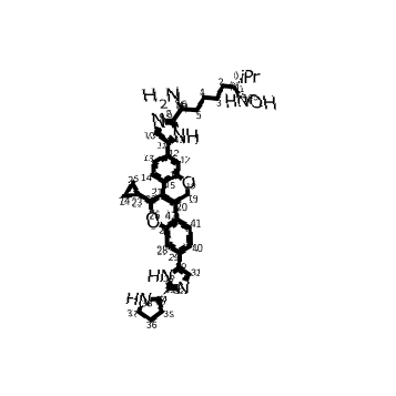 CC(C)[C@@H](CCCC[C@H](N)c1ncc(-c2ccc3c(c2)OCC2=C3C(C3CC3)Oc3cc(-c4cnc([C@@H]5CCCN5)[nH]4)ccc32)[nH]1)NO